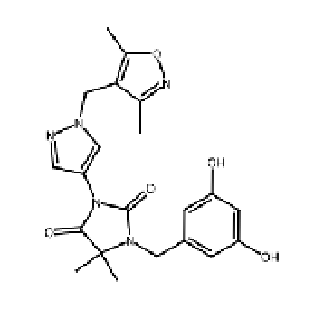 Cc1noc(C)c1Cn1cc(N2C(=O)N(Cc3cc(O)cc(O)c3)C(C)(C)C2=O)cn1